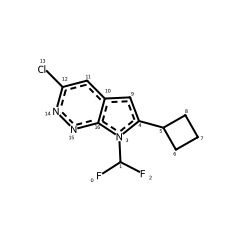 FC(F)n1c(C2CCC2)cc2cc(Cl)nnc21